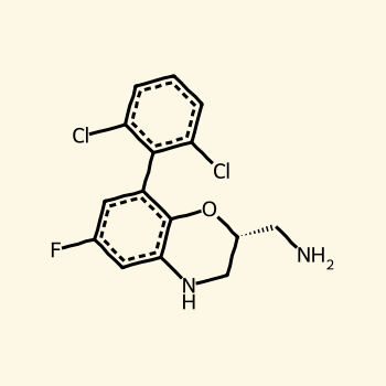 NC[C@@H]1CNc2cc(F)cc(-c3c(Cl)cccc3Cl)c2O1